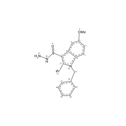 COc1ccc2c(c1)c(C(=O)NN)c(C(C)C)n2Cc1ccccc1